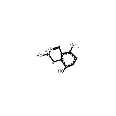 Nc1ccc(O)c2c1C=NN(O)C2